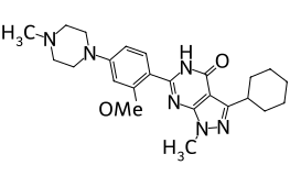 COc1cc(N2CCN(C)CC2)ccc1-c1nc2c(c(C3CCCCC3)nn2C)c(=O)[nH]1